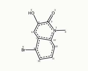 Cn1c(=O)c(O)cc2c(Br)cccc21